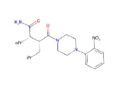 CCC[C@H](C(N)=O)[C@@H](CC(C)C)C(=O)N1CCN(c2ccccc2[N+](=O)[O-])CC1